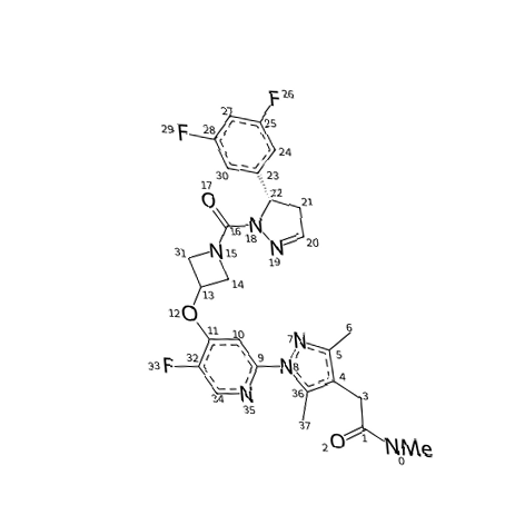 CNC(=O)Cc1c(C)nn(-c2cc(OC3CN(C(=O)N4N=CC[C@H]4c4cc(F)cc(F)c4)C3)c(F)cn2)c1C